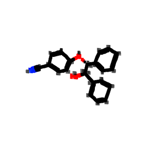 N#Cc1ccc(O[C@H](c2ccccc2)[C@H](O)c2ccccc2)cc1